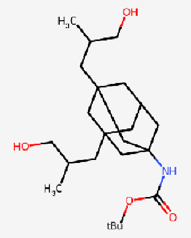 CC(CO)CC12CC3CC(CC(C)CO)(C1)CC(NC(=O)OC(C)(C)C)(C3)C2